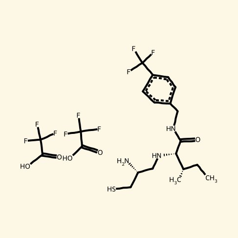 CC[C@H](C)[C@H](NC[C@@H](N)CS)C(=O)NCc1ccc(C(F)(F)F)cc1.O=C(O)C(F)(F)F.O=C(O)C(F)(F)F